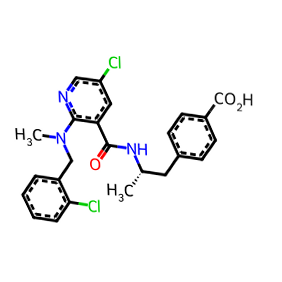 C[C@@H](Cc1ccc(C(=O)O)cc1)NC(=O)c1cc(Cl)cnc1N(C)Cc1ccccc1Cl